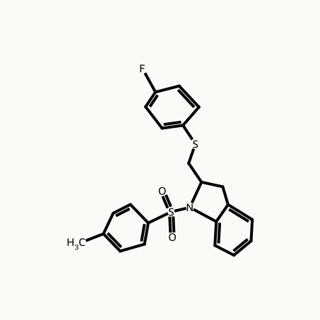 Cc1ccc(S(=O)(=O)N2c3ccccc3CC2CSc2ccc(F)cc2)cc1